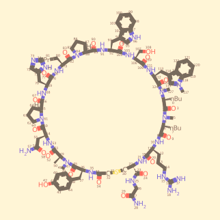 CCCC[C@H]1C(=O)N(C)[C@@H](CCCC)C(=O)N[C@@H](CCCNC(=N)N)C(=O)N[C@H](C(=O)NCC(N)=O)CSCC(=O)N[C@@H](Cc2ccc(O)cc2)C(=O)N(C)[C@@H](C)C(=O)N[C@@H](CC(N)=O)C(=O)N2CCC[C@H]2C(=O)N[C@@H](Cc2cnc[nH]2)C(=O)N[C@@H](CC(C)C)C(=O)N2CCC[C@H]2C(=O)N[C@@H](Cc2c[nH]c3ccccc23)C(=O)N[C@@H](CO)C(=O)N[C@@H](Cc2cn(C)c3ccccc23)C(=O)N1C